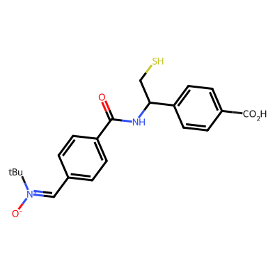 CC(C)(C)/[N+]([O-])=C\c1ccc(C(=O)NC(CS)c2ccc(C(=O)O)cc2)cc1